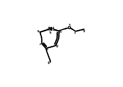 CCOC1=CC(C)=CCN1